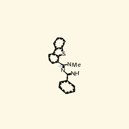 CN/C(=N\C(=N)c1ccccc1)c1cccc2c1sc1ccccc12